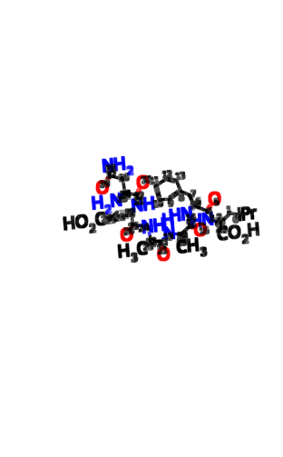 CC(C)C[C@H](NC(=O)[C@H](Cc1ccccc1)NC(=O)[C@H](C)NC(=O)[C@H](C)NC(=O)[C@H](CCC(=O)O)NC(=O)[C@@H](N)CC(N)=O)C(=O)O